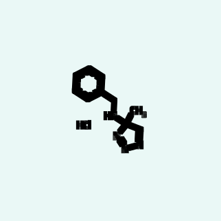 CC1(NCc2ccccc2)C=NN=N1.Cl